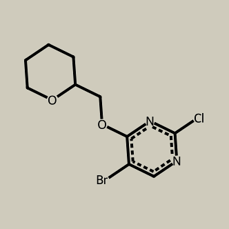 Clc1ncc(Br)c(OCC2CCCCO2)n1